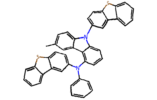 Cc1ccc2c(c1)c1c(N(c3ccccc3)c3ccc4sc5ccccc5c4c3)cccc1n2-c1ccc2sc3ccccc3c2c1